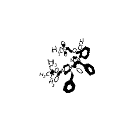 CC(C)(C)OC(=O)N1CCN(C(=O)c2ncn(C3CCCCC3(O)COCCS(C)(=O)=O)c2-c2ccccc2)[C@H](Cc2ccccc2)C1